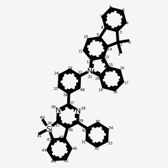 CC1(C)c2ccccc2-c2ccc3c(c21)c1ccccc1n3-c1cccc(-c2nc(-c3ccccc3)c3c(n2)[Si](C)(C)c2ccccc2-3)c1